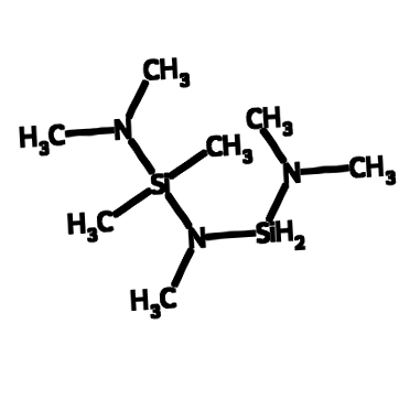 CN(C)[SiH2]N(C)[Si](C)(C)N(C)C